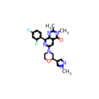 Cc1nc2c(-c3ccc(F)cc3F)nc(N3CCOC(c4cnn(C)c4)C3)cc2c(=O)n1C